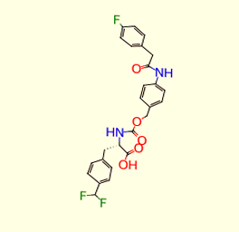 O=C(Cc1ccc(F)cc1)Nc1ccc(COC(=O)N[C@@H](Cc2ccc(C(F)F)cc2)C(=O)O)cc1